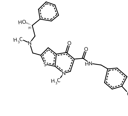 CN(Cc1cc2c(=O)c(C(=O)NCc3ccc(Cl)cc3)cn(C)c2s1)C[C@H](O)c1ccccc1